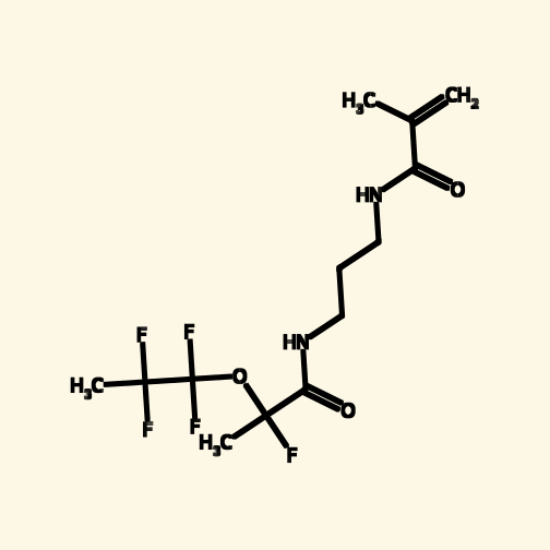 C=C(C)C(=O)NCCCNC(=O)C(C)(F)OC(F)(F)C(C)(F)F